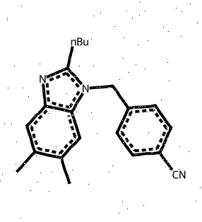 CCCCc1nc2cc(C)c(C)cc2n1Cc1ccc(C#N)cc1